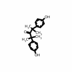 CC(C)(C(=O)C(C)(C)c1ccc(O)cc1)c1ccc(O)cc1